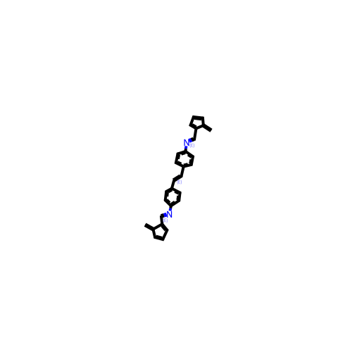 C=C1C=CC=C1/C=N/c1ccc(/C=C/c2ccc(/N=C/C3=CC=CC3=C)cc2)cc1